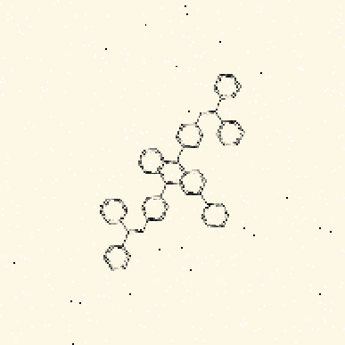 C(=C(c1ccccc1)c1ccccc1)c1ccc(-c2c3ccccc3c(-c3ccc(C=C(c4ccccc4)c4ccccc4)cc3)c3cc(-c4ccccc4)ccc23)cc1